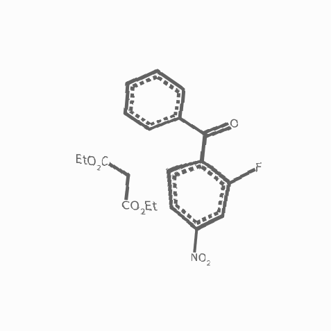 CCOC(=O)CC(=O)OCC.O=C(c1ccccc1)c1ccc([N+](=O)[O-])cc1F